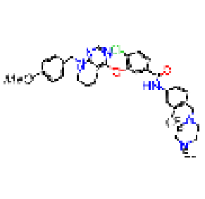 CCN1CCN(Cc2ccc(NC(=O)c3ccc(Cl)c(Oc4ncnc5c4CCCN5Cc4ccc(OC)cc4)c3)cc2C(F)(F)F)CC1